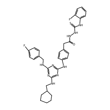 O=C(Cc1ccc(Nc2nc(NCc3ccc(F)cc3)nc(NCC3CCCCC3)n2)cc1)NNC(=S)Nc1ccccc1F